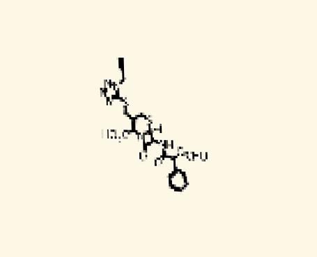 C#CCn1nnnc1SCC1=C(C(=O)O)N2C(=O)C(NC(=O)C(OC=O)c3ccccc3)[C@@H]2SC1